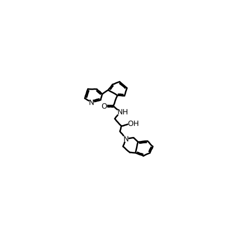 O=C(NCC(O)CN1CCc2ccccc2C1)c1ccccc1-c1cccnc1